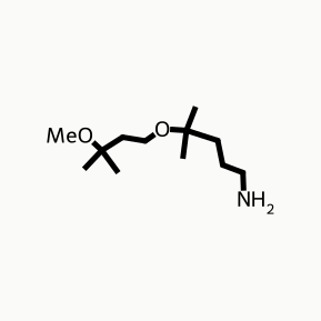 COC(C)(C)CCOC(C)(C)CCCN